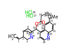 C=CC1CN2CCC1CC2C(OC(=O)CC(C)(C)C)c1ccnc2ccc(OC)cc12.Cl.Cl